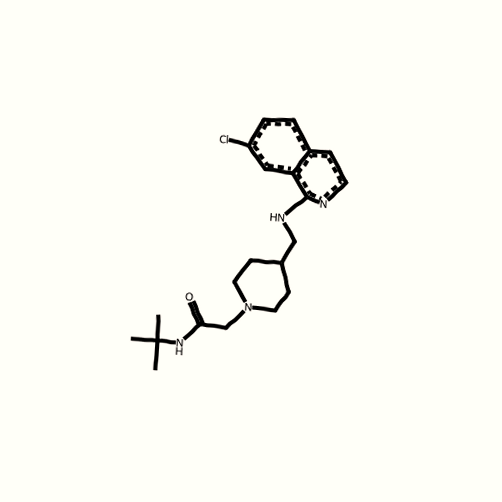 CC(C)(C)NC(=O)CN1CCC(CNc2nccc3ccc(Cl)cc23)CC1